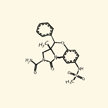 CC12CN(C(N)=O)C(=O)N1c1cc(NS(C)(=O)=O)ccc1OC2c1ccccc1